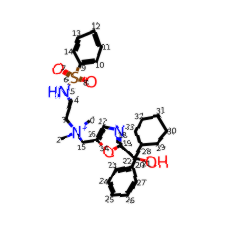 C[N+](C)(CCNS(=O)(=O)c1ccccc1)Cc1cnc(C(O)(c2ccccc2)C2CCCCC2)o1